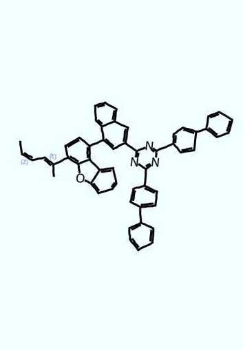 C/C=C\C=C(/C)c1ccc(-c2cc(-c3nc(-c4ccc(-c5ccccc5)cc4)nc(-c4ccc(-c5ccccc5)cc4)n3)cc3ccccc23)c2c1oc1ccccc12